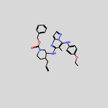 C=CCC1CCN(C(=O)OCc2ccccc2)CC1Nc1nc2ccnn2c(Nc2ccc(OCC)cc2)c1C